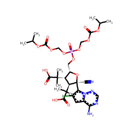 CC(C)OC(=O)OCOP(=O)(OCOC(=O)OC(C)C)OC[C@@H]1O[C@@](C#N)(c2c(Br)cc3c(N)ncnn23)[C@@H](C(C)(C)C(=O)O)[C@@H]1C(C)(C)C(=O)O